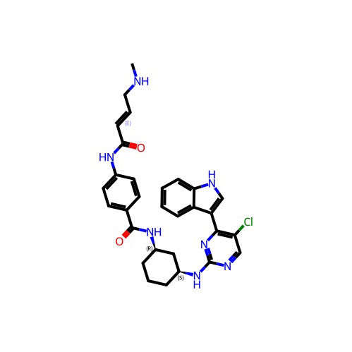 CNC/C=C/C(=O)Nc1ccc(C(=O)N[C@@H]2CCC[C@H](Nc3ncc(Cl)c(-c4c[nH]c5ccccc45)n3)C2)cc1